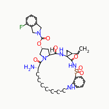 C=C[C@@H]1C[C@@]12NC(=O)[C@@H]1C[C@@H](OC(=O)N3Cc4cccc(F)c4C3)CN1C(=O)[C@@H](N)CCCCCCCNc1ccccc1S(=O)(=O)NC2=O